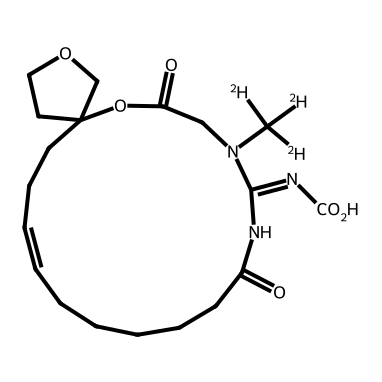 [2H]C([2H])([2H])N1CC(=O)OC2(CCC=CCCCCCC(=O)NC1=NC(=O)O)CCOC2